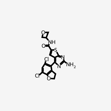 Nc1nc(-c2c(Cl)cc(Cl)c3c2CCO3)c2cc(C(=O)NC3COC3)sc2n1